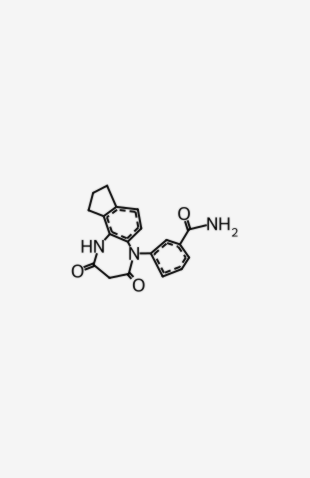 NC(=O)c1cccc(N2C(=O)CC(=O)Nc3c2ccc2c3CCC2)c1